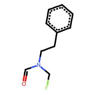 O=CN(CF)CCc1ccccc1